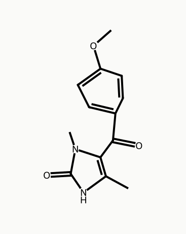 COc1ccc(C(=O)c2c(C)[nH]c(=O)n2C)cc1